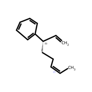 C=C[C@H](CC/C=C\C)c1ccccc1